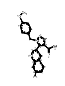 COc1ccc(Cn2nnc(C(=O)O)c2-c2cnc3cc(Cl)ccc3c2)cc1